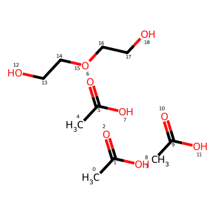 CC(=O)O.CC(=O)O.CC(=O)O.OCCOCCO